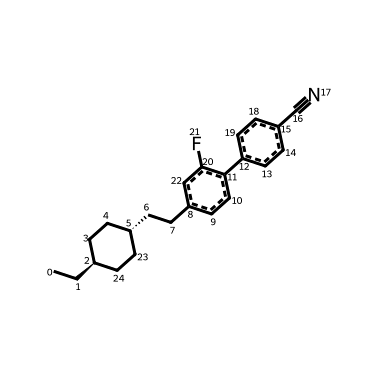 CC[C@H]1CC[C@H](CCc2ccc(-c3ccc(C#N)cc3)c(F)c2)CC1